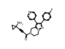 NC1(C#CC(=O)N2CCn3nc(-c4ccc(F)cc4)c(-c4ccncc4)c3C2)CC1